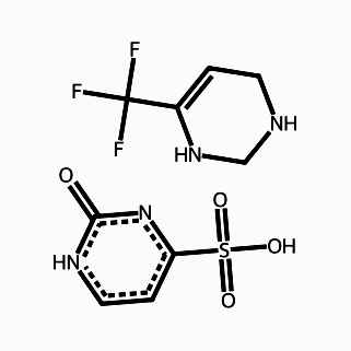 FC(F)(F)C1=CCNCN1.O=c1nc(S(=O)(=O)O)cc[nH]1